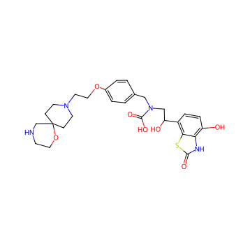 O=C(O)N(Cc1ccc(OCCN2CCC3(CC2)CNCCO3)cc1)CC(O)c1ccc(O)c2[nH]c(=O)sc12